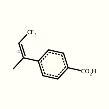 C/C(=C/C(F)(F)F)c1ccc(C(=O)O)cc1